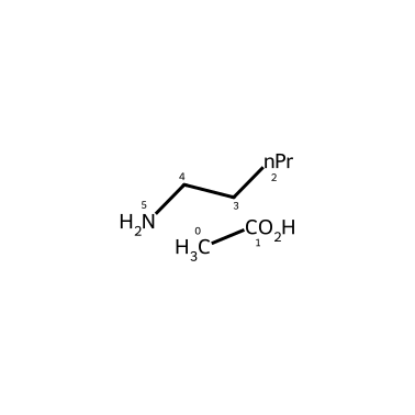 CC(=O)O.CCCCCN